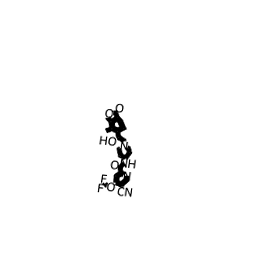 Cc1c(C(O)CN2CCC(NC(=O)c3cc(OC(F)F)c(C#N)cn3)CC2)ccc2c1COC2=O